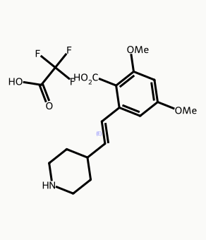 COc1cc(/C=C/C2CCNCC2)c(C(=O)O)c(OC)c1.O=C(O)C(F)(F)F